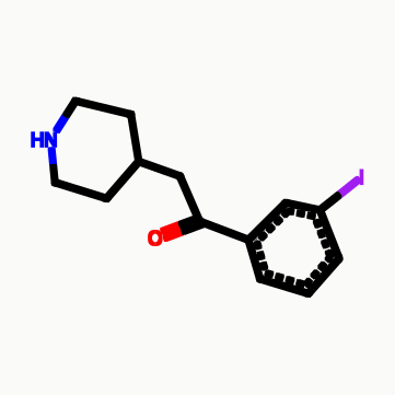 O=C(CC1CCNCC1)c1cccc(I)c1